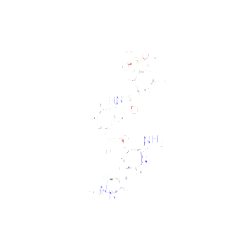 Cc1cc(C(=O)Nc2cccc(C(C)Oc3cc(-c4cnn(C)c4)cnc3N)c2)cc(S(C)(=O)=O)c1C